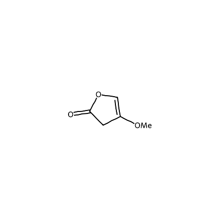 COC1=COC(=O)C1